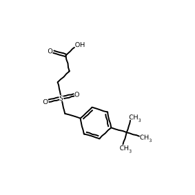 CC(C)(C)c1ccc(CS(=O)(=O)CCC(=O)O)cc1